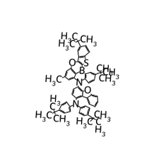 Cc1cc2c3c(c1)N(c1ccc(N(c4ccc(C(C)(C)C)cc4)c4ccc(C(C)(C)C)cc4)c4c1oc1ccccc14)c1ccc(C(C)(C)C)cc1B3c1sc3ccc(C(C)(C)C)cc3c1O2